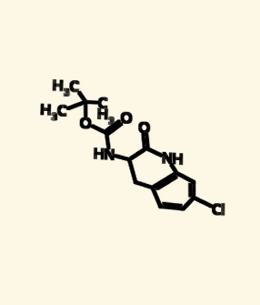 CC(C)(C)OC(=O)NC1Cc2ccc(Cl)cc2NC1=O